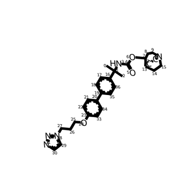 CC(C)(NC(=O)OC1CCN2CCC1CC2)c1ccc(-c2ccc(OCCCn3ccnn3)cc2)cc1